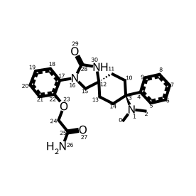 CN(C)[C@]1(c2ccccc2)CC[C@]2(CC1)CN(c1ccccc1OCC(N)=O)C(=O)N2